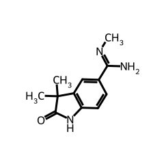 CN=C(N)c1ccc2c(c1)C(C)(C)C(=O)N2